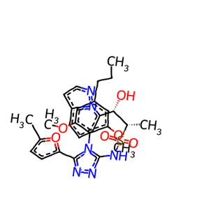 CCCc1cc(OC)c(-n2c(NS(=O)(=O)[C@@H](C)[C@@H](O)c3cccc4ccnn34)nnc2-c2ccc(C)o2)c(OC)c1